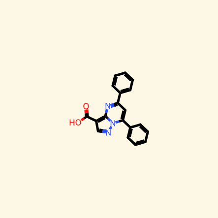 O=C(O)c1cnn2c(-c3ccccc3)cc(-c3ccccc3)nc12